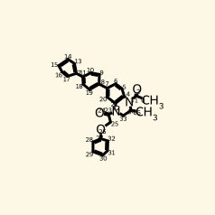 CC(=O)N1c2ccc(-c3ccc(-c4ccccc4)cc3)cc2N(C(=O)COc2ccccc2)CC1C